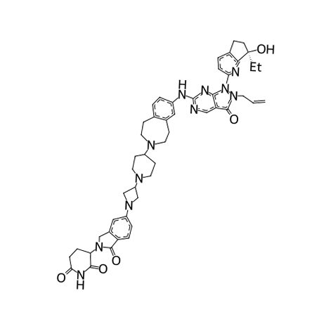 C=CCn1c(=O)c2cnc(Nc3ccc4c(c3)CCN(C3CCN(C5CN(c6ccc7c(c6)CN(C6CCC(=O)NC6=O)C7=O)C5)CC3)CC4)nc2n1-c1ccc2c(n1)[C@@](O)(CC)CC2